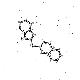 c1ccc2nc(Nc3cc4ccccc4[nH]3)ncc2c1